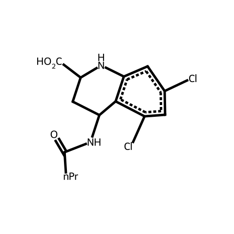 CCCC(=O)NC1CC(C(=O)O)Nc2cc(Cl)cc(Cl)c21